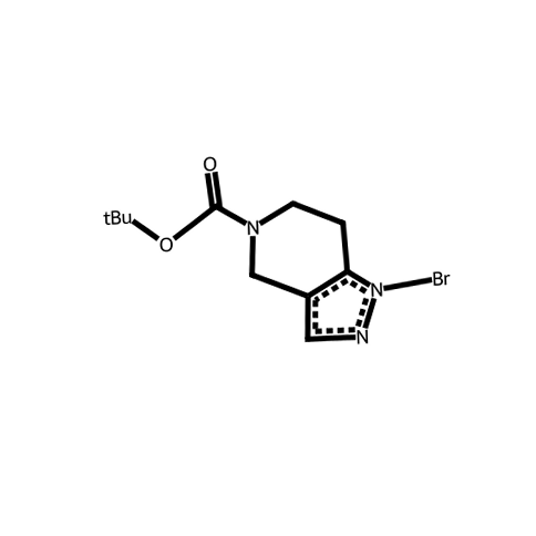 CC(C)(C)OC(=O)N1CCc2c(cnn2Br)C1